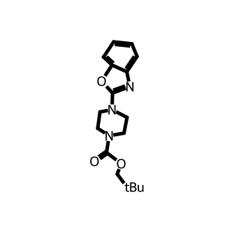 CC(C)(C)COC(=O)N1CCN(c2nc3ccccc3o2)CC1